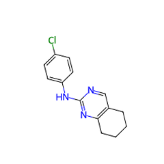 Clc1ccc(Nc2ncc3c(n2)CCCC3)cc1